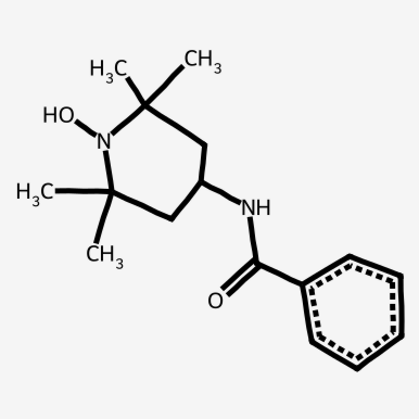 CC1(C)CC(NC(=O)c2ccccc2)CC(C)(C)N1O